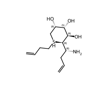 C=CCC[SH]1C[C@H](O)[C@H](O)[C@@H](O)[C@H]1[C@H](N)CC=C